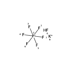 F.F[P-](F)(F)(F)(F)F.[K+]